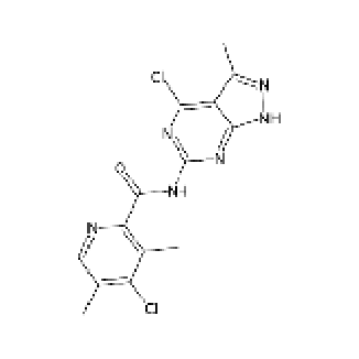 Cc1cnc(C(=O)Nc2nc(Cl)c3c(C)n[nH]c3n2)c(C)c1Cl